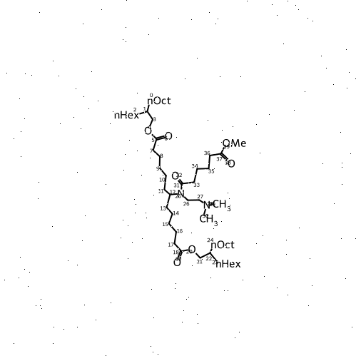 CCCCCCCCC(CCCCCC)COC(=O)CCCCCC(CCCCCC(=O)OCC(CCCCCC)CCCCCCCC)N(CCN(C)C)C(=O)CCCCC(=O)OC